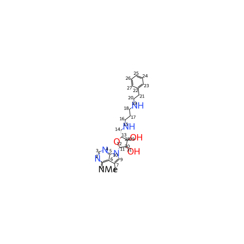 CNc1ncnc2c1c(C)cn2[C@@H]1O[C@H](CNCCCNCCc2ccccc2)[C@@H](O)[C@H]1O